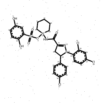 O=C(N[N+]1(OS(=O)(=O)c2cc(O)ccc2O)CCCCC1)C1=NN(c2ccc(Cl)cc2Cl)C(c2ccc(Cl)cc2)C1